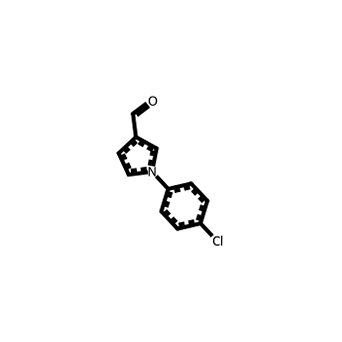 O=Cc1ccn(-c2ccc(Cl)cc2)c1